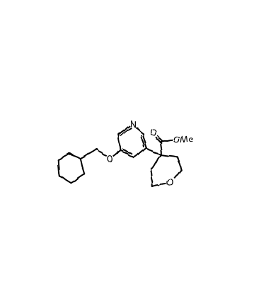 COC(=O)C1(c2cncc(OCC3CCCCC3)c2)CCOCC1